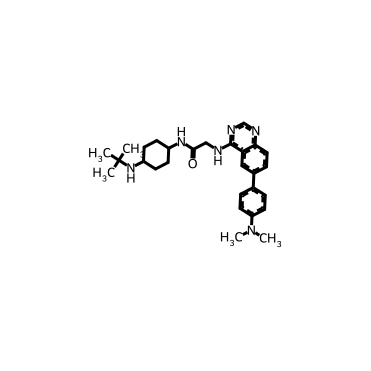 CN(C)c1ccc(-c2ccc3ncnc(NCC(=O)NC4CCC(NC(C)(C)C)CC4)c3c2)cc1